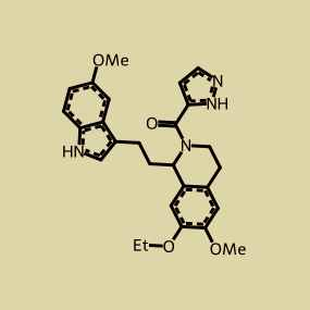 CCOc1cc2c(cc1OC)CCN(C(=O)c1ccn[nH]1)C2CCc1c[nH]c2ccc(OC)cc12